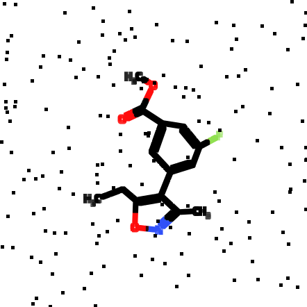 CCc1onc(C)c1-c1cc(F)cc(C(=O)OC)c1